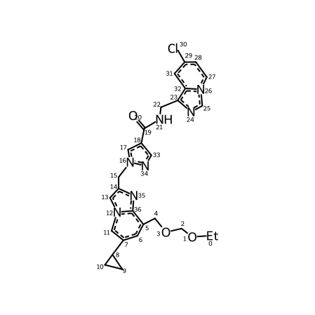 CCOCOCc1cc(C2CC2)cn2cc(Cn3cc(C(=O)NCc4ncn5ccc(Cl)cc45)cn3)nc12